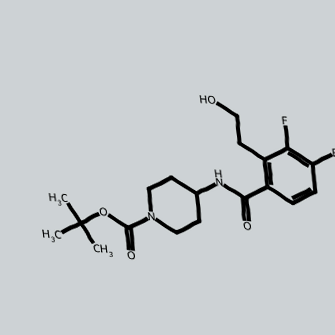 CC(C)(C)OC(=O)N1CCC(NC(=O)c2ccc(Br)c(F)c2CCO)CC1